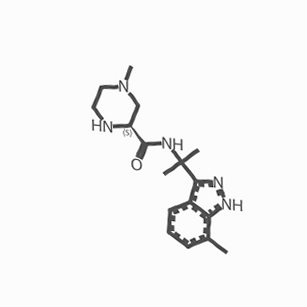 Cc1cccc2c(C(C)(C)NC(=O)[C@@H]3CN(C)CCN3)n[nH]c12